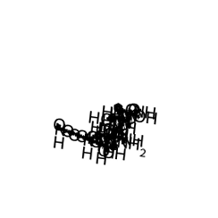 CNC(=O)[C@H](CO)NC(=O)[C@H](Cc1c[nH]c2ccccc12)NC(=O)[C@H](CC(C)C)NC(=O)[C@H](Cc1ccc(O)cc1)NC(=O)[C@@H](CCCNC(=N)N)NC(=O)[C@@H](CO)NC(=O)[C@H](Cc1ccccc1)NC(=O)[C@H](CC1CCCCC1)NC(=O)[C@H](CC(=O)O)NC(=O)COCC(=O)NCCOCCOCCOCCNC(C)=O